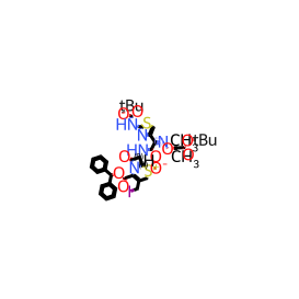 CC(C)(C)OC(=O)Nc1nc(/C(=N/OC(C)(C)C(=O)OC(C)(C)C)C(=O)N[C@@H]2C(=O)N3C(C(=O)OC(c4ccccc4)c4ccccc4)=C(CI)C[S+]([O-])[C@H]23)cs1